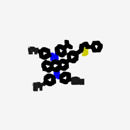 C=C(C)c1ccc(N(c2ccc(C(C)C)cc2)c2c3ccccc3c(N(c3ccc(C(C)C)cc3)c3ccc(C(C)(C)C)cc3)c3ccc(-c4ccc(-c5ccc(-c6ccccc6)s5)cc4)cc23)cc1